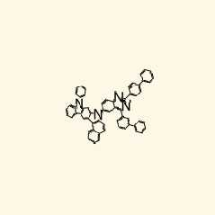 c1ccc(-c2ccc(-c3nc(-c4cccc(-c5ccccc5)c4)c4cc(-n5c6cc7c(cc6c6c8ccccc8ccc65)c5ccccc5n7-c5ccccc5)ccc4n3)cc2)cc1